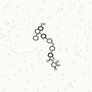 O=C1CC[C@H](N2Cc3cc(N4CCN(CC5CCN(c6ccc([C@@H]7c8ccc(O)cc8CC[C@@H]7C7CCCCC7)cn6)CC5)CC4)ccc3C2=O)C(=O)N1